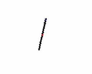 [CH2]/C=C/CCCCCCCCCCCCCCCCCCCCCCCCCCC